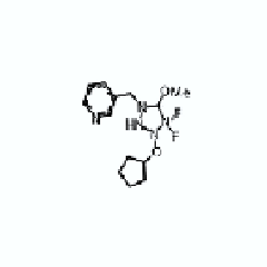 CO[C]1N(Cc2cccnc2)NN(OC2CCCC2)[N+]1(F)F